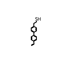 C=Cc1ccc(-c2ccc(CCS)cc2)cc1